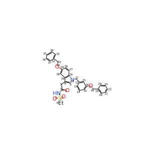 CCS(=O)(=O)NC(=O)Cc1cn(Cc2cccc(OCc3ccccc3)c2)c2ccc(OCc3ccccc3)cc12